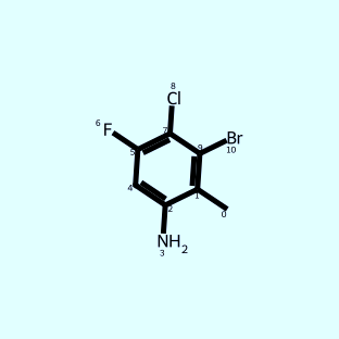 Cc1c(N)cc(F)c(Cl)c1Br